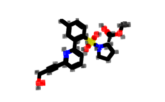 Cc1ccc(S(=O)(=O)N2CCC[C@H]2C(=O)OC(C)(C)C)c(-c2cccc(C#CCO)n2)c1